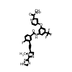 CNC(=O)c1cc(Oc2cc(NC(=O)c3ccc(F)c(C#Cc4cnc(-c5nc[nH]n5)n4C)c3)cc(C(F)(F)F)c2)ccn1